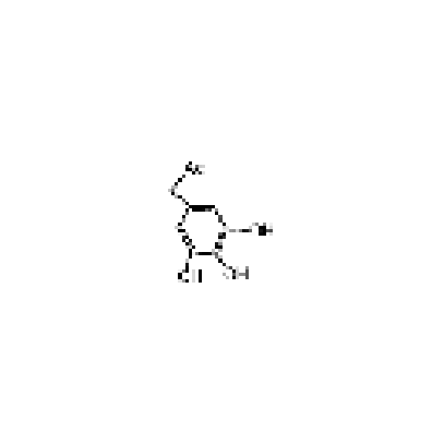 CC(=O)Cc1cc(O)c(O)c(O)c1